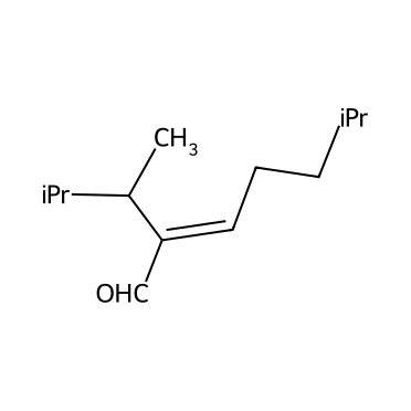 CC(C)CCC=C(C=O)C(C)C(C)C